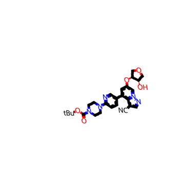 CC(C)(C)OC(=O)N1CCN(c2ccc(-c3cc(O[C@H]4COC[C@@H]4O)cn4ncc(C#N)c34)cn2)CC1